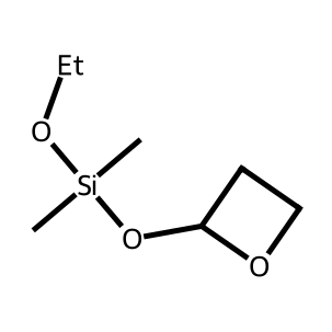 CCO[Si](C)(C)OC1CCO1